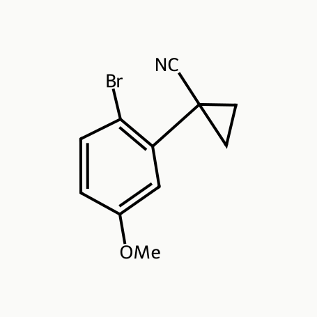 COc1ccc(Br)c(C2(C#N)CC2)c1